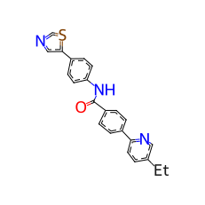 CCc1ccc(-c2ccc(C(=O)Nc3ccc(-c4cncs4)cc3)cc2)nc1